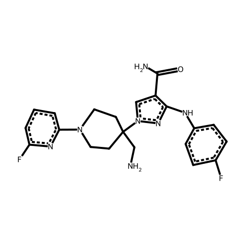 NCC1(n2cc(C(N)=O)c(Nc3ccc(F)cc3)n2)CCN(c2cccc(F)n2)CC1